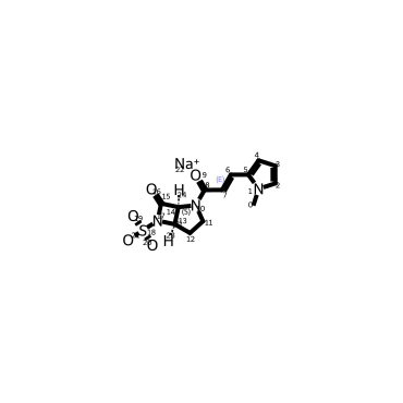 Cn1cccc1/C=C/C(=O)N1CC[C@@H]2[C@H]1C(=O)N2S(=O)(=O)[O-].[Na+]